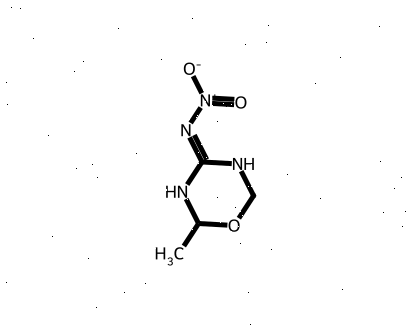 CC1NC(=N[N+](=O)[O-])NCO1